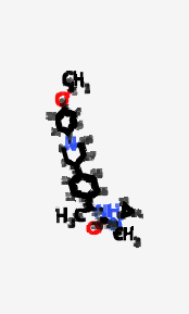 CCOc1ccc(N2CCC(c3ccc(C(C)NC(=O)N(C)C4CC4)cc3)CC2)cc1